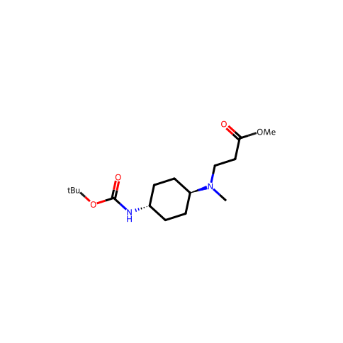 COC(=O)CCN(C)[C@H]1CC[C@H](NC(=O)OC(C)(C)C)CC1